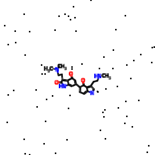 CNCCC1=C2C(=O)C(C3=CC(=O)C4=C(CCN(C)C)C(=O)NC4=C3)=CC=C2N=C1